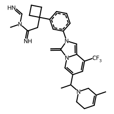 C=C1N2C=C(C(C)N3CCC=C(C)C3)C=C(C(F)(F)F)C2=CN1c1cccc(C2(CC(=N)N(C)C=N)CCC2)c1